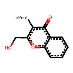 CCCCCc1c(CO)oc2ccccc2c1=O